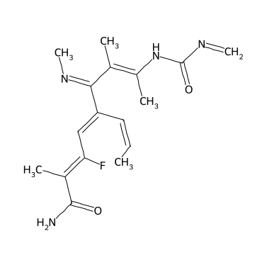 C=NC(=O)N/C(C)=C(C)/C(=N\C)C(/C=C\C)=C/C(F)=C(\C)C(N)=O